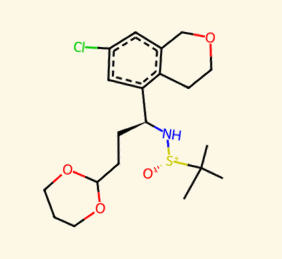 CC(C)(C)[S@+]([O-])N[C@@H](CCC1OCCCO1)c1cc(Cl)cc2c1CCOC2